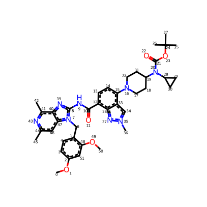 COc1ccc(Cn2c(NC(=O)c3ccc(N4CCC(N(C(=O)OC(C)(C)C)C5CC5)CC4)c4cn(C)nc34)nc3c(C)nc(C)cc32)c(OC)c1